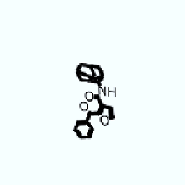 O=C(NC1C2CC3CC(C2)CC1C3)c1ccoc1C(=O)c1ccccc1